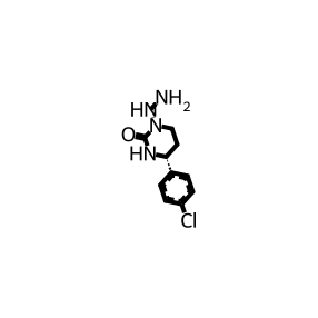 NNN1CC[C@H](c2ccc(Cl)cc2)NC1=O